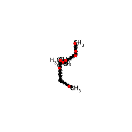 CCCCCCCC/C=C\CCCCCCCCCO[C@H](COC(=O)CCCCCCC/C=C\CCCCCCCC)C[N+](C)(C)C